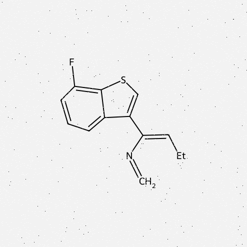 C=N/C(=C\CC)c1csc2c(F)cccc12